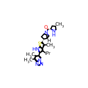 Cc1c(-c2[nH]c3sc([C@@H]4CC5C[C@H]4CN5C(=O)[C@@H]4C[C@H](C)CN4)c(C)c3c2C(C)C)cn2ncnc2c1C